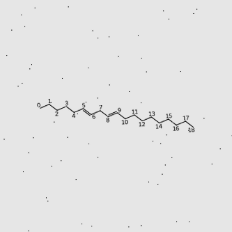 CCCCCC=CCC=CCCCCCCCCC